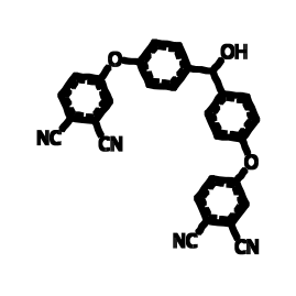 N#Cc1ccc(Oc2ccc(C(O)c3ccc(Oc4ccc(C#N)c(C#N)c4)cc3)cc2)cc1C#N